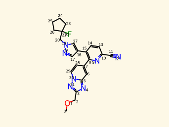 COCc1nc2cc(-c3nc(C#N)ccc3-c3cnn(CC4(F)CCCC4)c3)ccn2n1